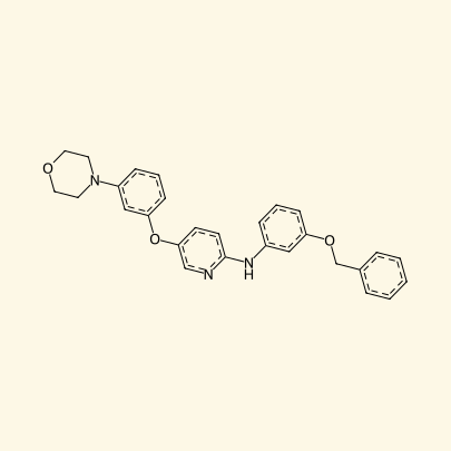 c1ccc(COc2cccc(Nc3ccc(Oc4cccc(N5CCOCC5)c4)cn3)c2)cc1